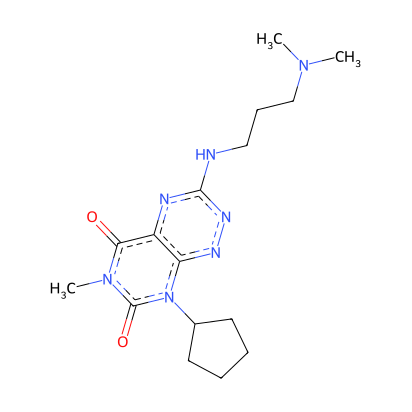 CN(C)CCCNc1nnc2c(n1)c(=O)n(C)c(=O)n2C1CCCC1